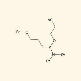 CCN(C(C)C)P(OCCC#N)OCCOC(C)C